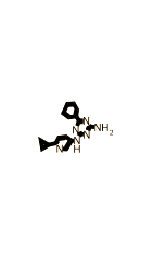 Nc1nc(Nc2ccc(C3CC3)nc2)nc(-c2ccccc2)n1